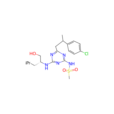 CC(C)C[C@H](CO)Nc1nc(CC(C)c2ccc(Cl)cc2)nc(NS(C)(=O)=O)n1